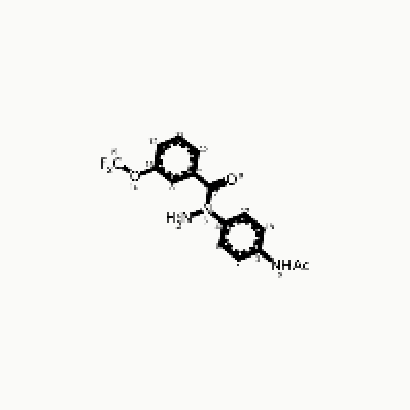 CC(=O)Nc1ccc(N(N)C(=O)c2cccc(OC(F)(F)F)c2)cc1